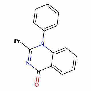 CC(C)c1nc(=O)c2ccccc2n1-c1ccccc1